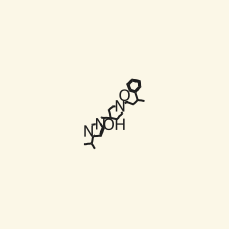 CC(C)C1=NCN(CC2(O)CCN(C(=O)CC(C)c3ccccc3)CC2)C=C1